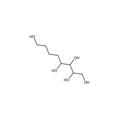 OCCCCC(O)C(O)C(O)CO